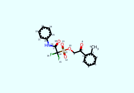 Cc1ccccc1C(=O)COS(=O)(=O)C(F)(F)C(=O)Nc1ccccc1